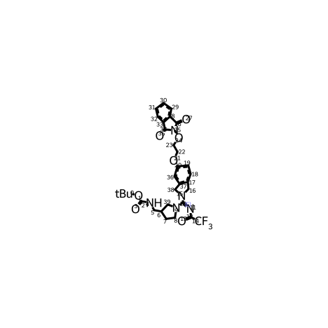 CC(C)(C)OC(=O)NCC1CCN(/C(=N\C(=O)C(F)(F)F)N2Cc3ccc(OCCON4C(=O)c5ccccc5C4=O)cc3C2)C1